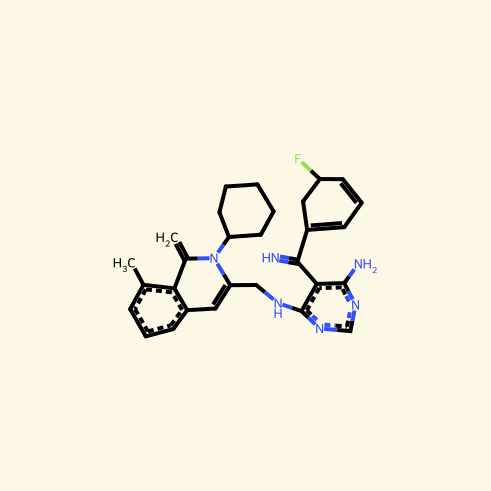 C=C1c2c(C)cccc2C=C(CNc2ncnc(N)c2C(=N)C2=CC=CC(F)C2)N1C1CCCCC1